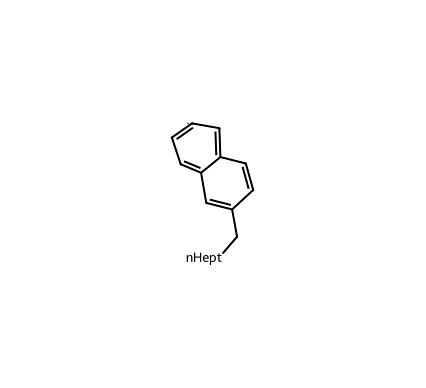 CCCCCCCCc1ccc2c[c]ccc2c1